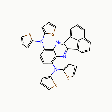 c1csc(N(c2cccs2)c2ccc(N(c3cccs3)c3cccs3)c3nc4c(nc23)-c2cccc3cccc-4c23)c1